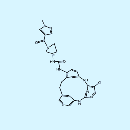 Cn1cc(C(=O)N2CC[C@H](NC(=O)Nc3ccc4cc3CCc3cncc(c3)Nc3ncc(Cl)c(n3)N4)C2)cn1